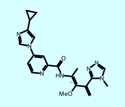 C=C(/C(OC)=C(\C)NC(=O)c1cc(-n2cnc(C3CC3)c2)ccn1)c1nncn1C